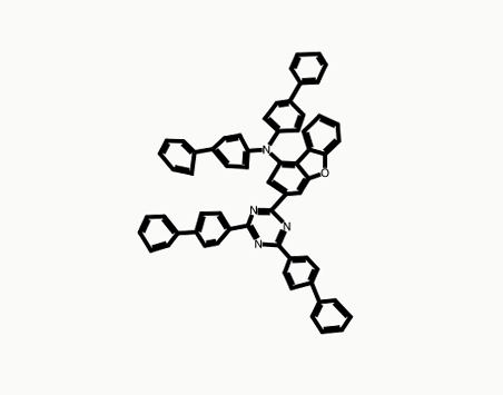 c1ccc(-c2ccc(-c3nc(-c4ccc(-c5ccccc5)cc4)nc(-c4cc(N(c5ccc(-c6ccccc6)cc5)c5ccc(-c6ccccc6)cc5)c5c(c4)oc4ccccc45)n3)cc2)cc1